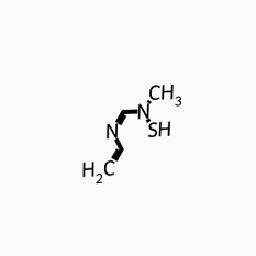 C=C/N=C\N(C)S